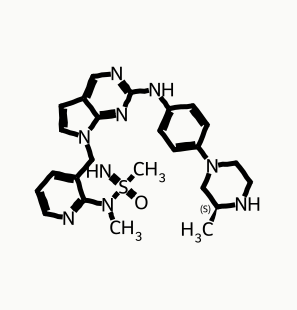 C[C@H]1CN(c2ccc(Nc3ncc4ccn(Cc5cccnc5N(C)S(C)(=N)=O)c4n3)cc2)CCN1